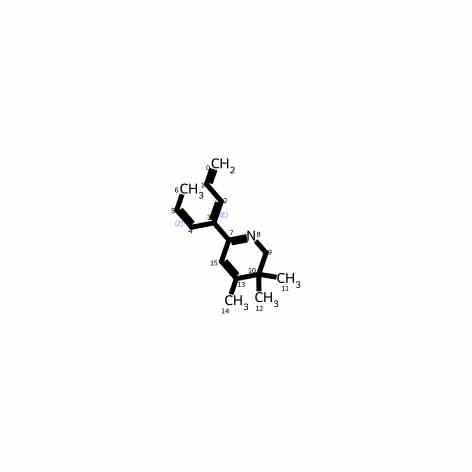 C=C/C=C(\C=C/C)C1=NCC(C)(C)C(C)=C1